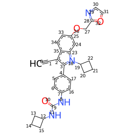 C#Cc1c(-c2ccc(NC(=O)NC3CCC3)cc2)n(C2CCC2)c2cc(OCc3ncco3)ccc12